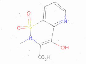 CN1C(C(=O)O)=C(O)c2ncccc2S1(=O)=O